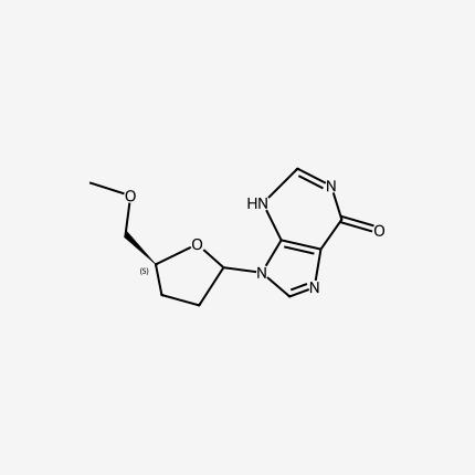 COC[C@@H]1CCC(n2cnc3c(=O)nc[nH]c32)O1